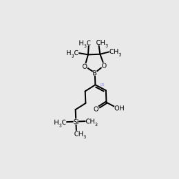 CC1(C)OB(/C(=C/C(=O)O)CCC[Si](C)(C)C)OC1(C)C